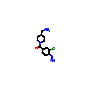 N=Nc1ccc(C(=O)N2CCC(CN)CC2)cc1Cl